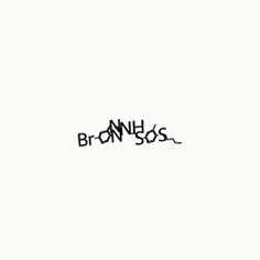 CCCCSc1ccc(SCCNc2ncc3cc(Br)ccc3n2)cc1C